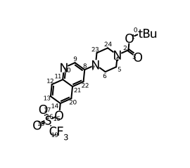 CC(C)(C)OC(=O)N1CCN(c2cnc3ccc(OS(=O)(=O)C(F)(F)F)cc3c2)CC1